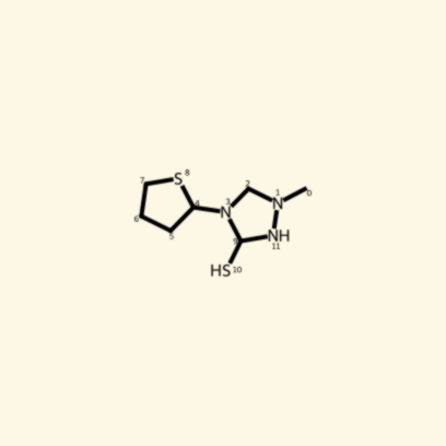 CN1CN(C2CCCS2)C(S)N1